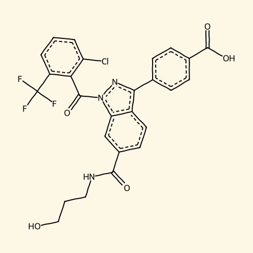 O=C(O)c1ccc(-c2nn(C(=O)c3c(Cl)cccc3C(F)(F)F)c3cc(C(=O)NCCCO)ccc23)cc1